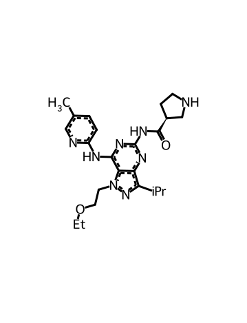 CCOCCn1nc(C(C)C)c2nc(NC(=O)[C@H]3CCNC3)nc(Nc3ccc(C)cn3)c21